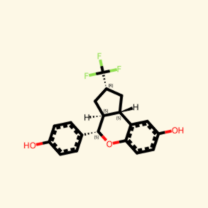 Oc1ccc([C@H]2Oc3ccc(O)cc3[C@H]3C[C@@H](C(F)(F)F)C[C@@H]32)cc1